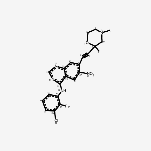 CN1CCOC(C)(C#Cc2cc3ncnc(Nc4cccc(Cl)c4F)c3cc2[N+](=O)[O-])C1